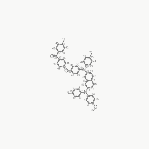 COc1ccc(N(c2ccc(C)cc2)c2ccc3ccc(N(c4ccc(C)cc4)c4ccc(Oc5ccc(C(=O)c6ccc(C)cc6)cc5)cc4)cc3c2)cc1